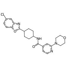 O=C(NC1CCC(c2nc3cc(Cl)ccc3o2)CC1)c1ccnc(N2CCOCC2)c1